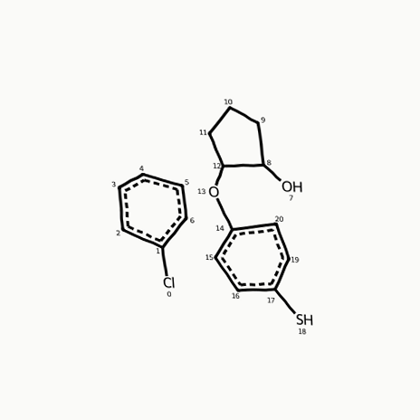 Clc1ccccc1.OC1CCCC1Oc1ccc(S)cc1